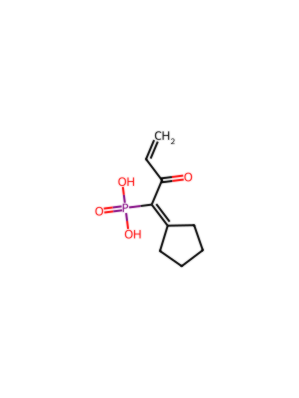 C=CC(=O)C(=C1CCCC1)P(=O)(O)O